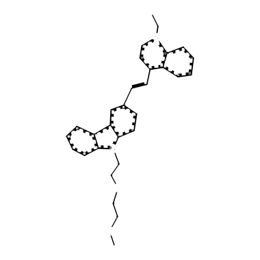 CC[n+]1ccc(/C=C/c2ccc3c(c2)c2ccccc2n3CCOCCOC)c2ccccc21.[Br-]